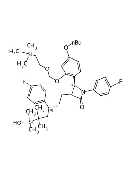 CCCCOc1ccc([C@@H]2C(CC[C@H](CC(C)(C)[Si](C)(C)O)c3ccc(F)cc3)C(=O)N2c2ccc(F)cc2)c(OCOCC[Si](C)(C)C)c1